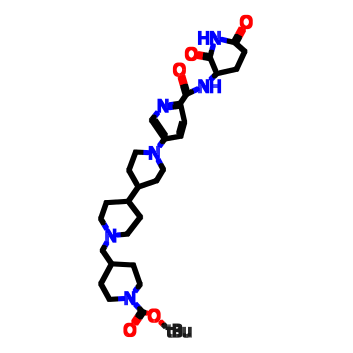 CC(C)(C)OC(=O)N1CCC(CN2CCC(C3CCN(c4ccc(C(=O)NC5CCC(=O)NC5=O)nc4)CC3)CC2)CC1